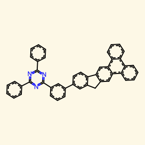 c1ccc(-c2nc(-c3ccccc3)nc(-c3cccc(-c4ccc5c(c4)Cc4cc6c7ccccc7c7ccccc7c6cc4-5)c3)n2)cc1